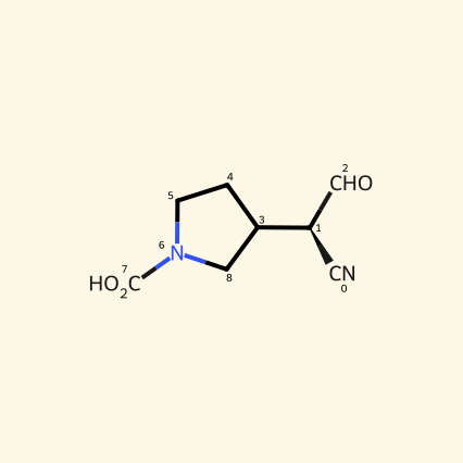 N#C[C@H](C=O)C1CCN(C(=O)O)C1